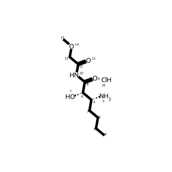 CCCC[C@@H](N)[C@H](O)C(=O)NC(=O)COC.Cl